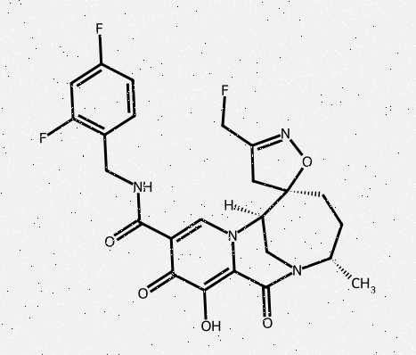 C[C@H]1CC[C@@]2(CC(CF)=NO2)[C@H]2CN1C(=O)c1c(O)c(=O)c(C(=O)NCc3ccc(F)cc3F)cn12